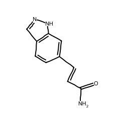 NC(=O)C=Cc1ccc2cn[nH]c2c1